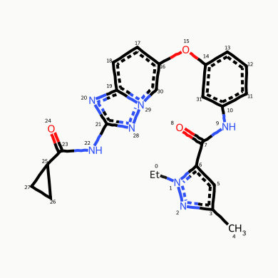 CCn1nc(C)cc1C(=O)Nc1cccc(Oc2ccc3nc(NC(=O)C4CC4)nn3c2)c1